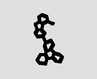 Brc1cccc2oc3ccc(-c4ccc5c(c4)c4c(c6ccccc65)C=CCC4)cc3c12